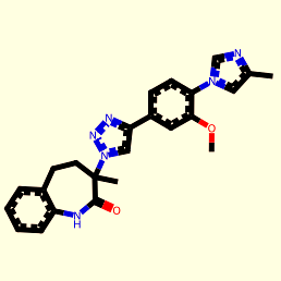 COc1cc(-c2cn(C3(C)CCc4ccccc4NC3=O)nn2)ccc1-n1cnc(C)c1